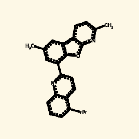 CCCc1cccc2nc(-c3cc(C)cc4c3oc3nc(C)ccc34)ccc12